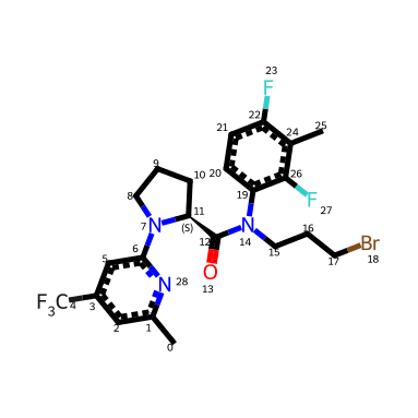 Cc1cc(C(F)(F)F)cc(N2CCC[C@H]2C(=O)N(CCCBr)c2ccc(F)c(C)c2F)n1